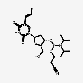 C/C=C/c1cn([C@H]2C[C@H](OP(OCCC#N)N(C(C)C)C(C)C)[C@@H](CO)O2)c(=O)[nH]c1=O